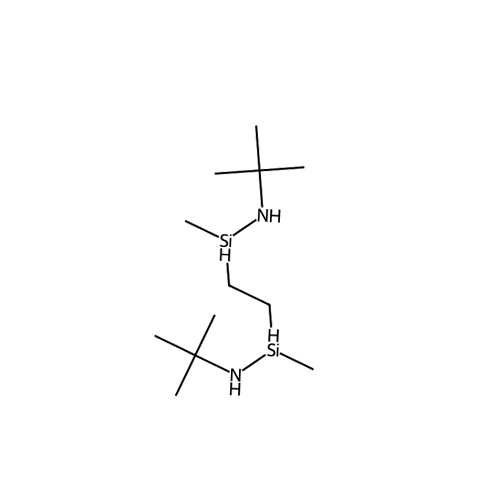 C[SiH](CC[SiH](C)NC(C)(C)C)NC(C)(C)C